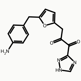 Nc1ccc(Cc2ccc(CC(=O)C(=O)c3nc[nH]n3)o2)cc1